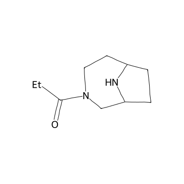 CCC(=O)N1CCC2CCC(C1)N2